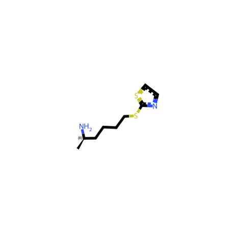 C[C@@H](N)CCCCSc1nccs1